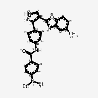 CCN(CC)c1ccc(C(=O)Nc2ccc(-c3n[nH]cc3-c3nc4cc(C)ccc4o3)cc2)cc1